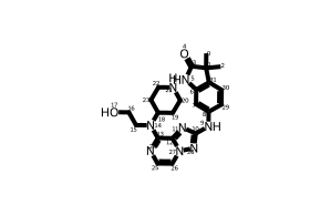 CC1(C)C(=O)Nc2cc(Nc3nc4c(N(CCO)C5CCNCC5)nccn4n3)ccc21